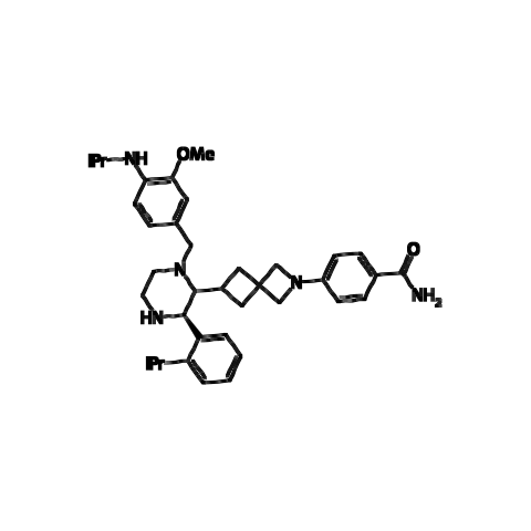 COc1cc(CN2CCN[C@H](c3ccccc3C(C)C)C2C2CC3(C2)CN(c2ccc(C(N)=O)cc2)C3)ccc1NC(C)C